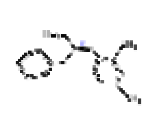 Cc1nc(N)ccc1/C=C(\Cc1ccccc1)C(=O)O